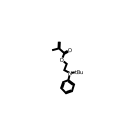 C=C(C)C(=O)OCCN(c1ccccc1)C(C)(C)C